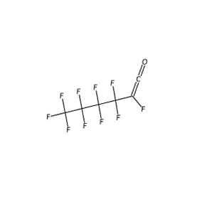 O=C=C(F)C(F)(F)C(F)(F)C(F)(F)C(F)(F)F